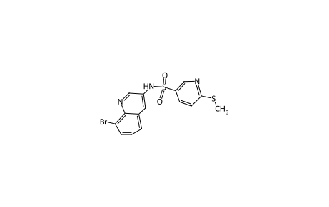 CSc1ccc(S(=O)(=O)Nc2cnc3c(Br)cccc3c2)cn1